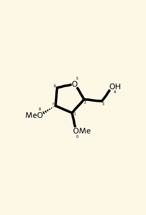 COC1C(CO)OC[C@H]1OC